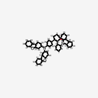 c1ccc(-c2ccccc2-n2c3ccccc3c3ccccc32)c(-c2ccc(N(c3ccc4c(c3)oc3ccccc34)c3ccc4oc5ccccc5c4c3)cc2)c1